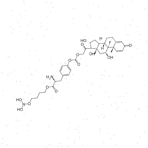 C[C@]12C=CC(=O)C=C1CC[C@H]1[C@@H]3C[C@@H](O)[C@](O)(C(=O)COC(=O)Oc4ccc(C[C@H](N)C(=O)OCCCCON(O)O)cc4)[C@@]3(C)C[C@H](O)C12F